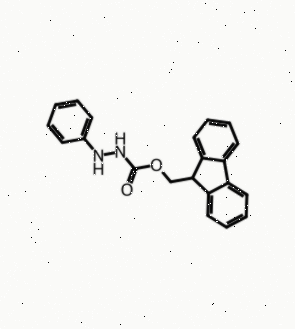 O=C(NNc1ccccc1)OCC1c2ccccc2-c2ccccc21